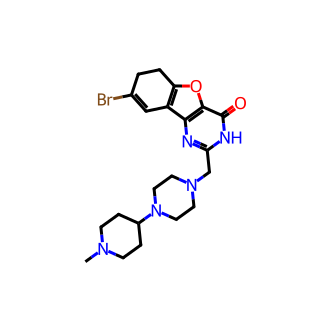 CN1CCC(N2CCN(Cc3nc4c5c(oc4c(=O)[nH]3)CCC(Br)=C5)CC2)CC1